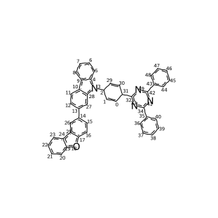 C1=CC(n2c3ccccc3c3ccc(-c4ccc5oc6ccccc6c5c4)cc32)C=CC1c1nc(-c2ccccc2)nc(-c2ccccc2)n1